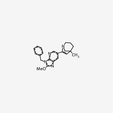 COc1nc2cc(C3=CC4(C)CCCN3C4)cnc2n1Cc1ccccc1